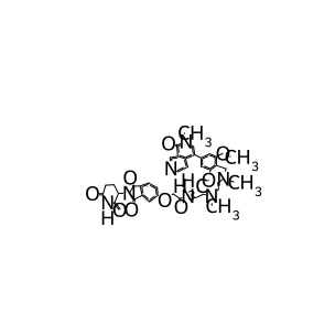 COc1cc(-c2cn(C)c(=O)c3cnccc23)cc(OC)c1CN(C)CCN(C)CCNC(=O)COc1ccc2c(c1)C(=O)N(C1CCC(=O)NC1=O)C2=O